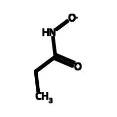 CCC(=O)N[O]